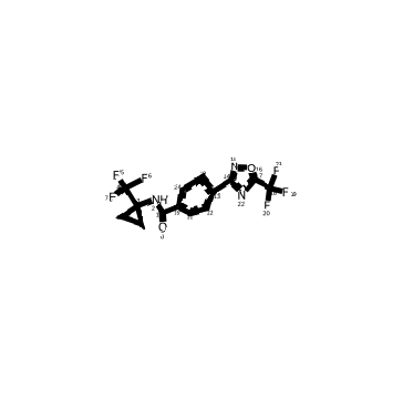 O=C(NC1(C(F)(F)F)CC1)c1ccc(-c2noc(C(F)(F)F)n2)cc1